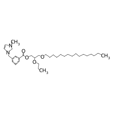 CCCCCCCCCCCCCCCCOCC(COC(=O)c1cccc(CN2C=CN(C)C2)c1)OCCC